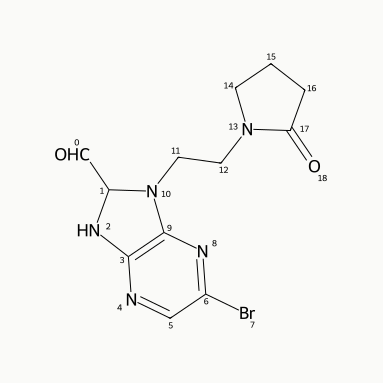 O=CC1Nc2ncc(Br)nc2N1CCN1CCCC1=O